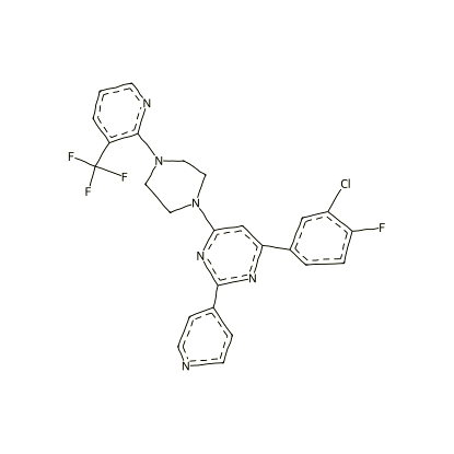 Fc1ccc(-c2cc(N3CCN(c4ncccc4C(F)(F)F)CC3)nc(-c3ccncc3)n2)cc1Cl